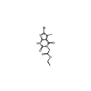 CCOC(=O)Cn1c(=O)[nH]c2sc(Br)c(C)c2c1=O